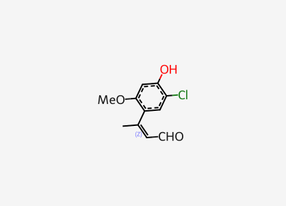 COc1cc(O)c(Cl)cc1/C(C)=C\C=O